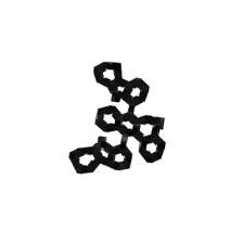 c1ccc2c(c1)ncc1c(-c3cccc4c3sc3ccccc34)c3ccccc3c(-c3cccc4c3sc3ccccc34)c12